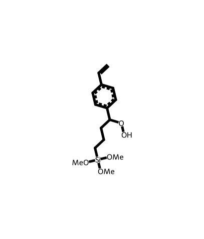 C=Cc1ccc(C(CCC[Si](OC)(OC)OC)OO)cc1